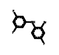 Fc1cc(F)cc(Nc2ccc(F)cc2Br)c1